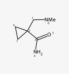 CNCC1(C(N)=O)CC1